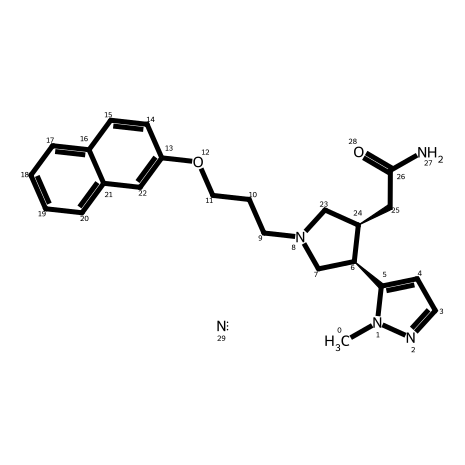 Cn1nccc1[C@H]1CN(CCCOc2ccc3ccccc3c2)C[C@H]1CC(N)=O.[N]